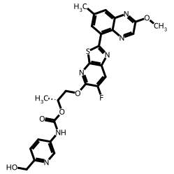 COc1cnc2c(-c3nc4cc(F)c(OC[C@@H](C)OC(=O)Nc5ccc(CO)nc5)nc4s3)cc(C)cc2n1